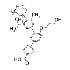 CCN(CC)c1c(C)cc(-c2cc(-c3ccc(C(=O)O)cc3)ccc2OCCCO)cc1C(C)C